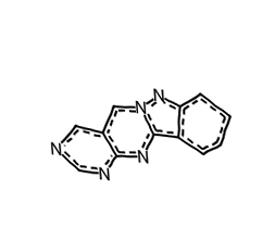 c1ccc2c(c1)nn1cc3cncnc3nc21